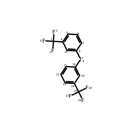 FC(F)(F)c1cccc([I+]c2cccc(C(F)(F)F)c2)c1